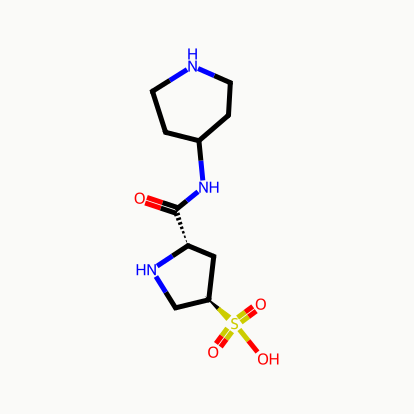 O=C(NC1CCNCC1)[C@@H]1C[C@@H](S(=O)(=O)O)CN1